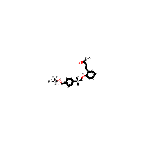 COC(=O)CCc1ccccc1OC[Si](C)(C)c1ccc(CO[Si](C(C)C)(C(C)C)C(C)C)cc1